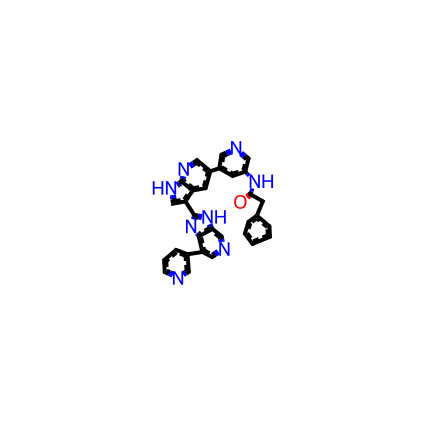 O=C(Cc1ccccc1)Nc1cncc(-c2cnc3[nH]cc(-c4nc5c(-c6cccnc6)cncc5[nH]4)c3c2)c1